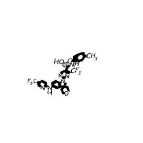 CC1CC2CC(C1)C(NC(=O)c1cnc(N3CC4(CCOCC4)c4cc(Nc5ccc(C(F)(F)F)cn5)ccc43)nc1C(F)(F)F)(C(=O)O)C2